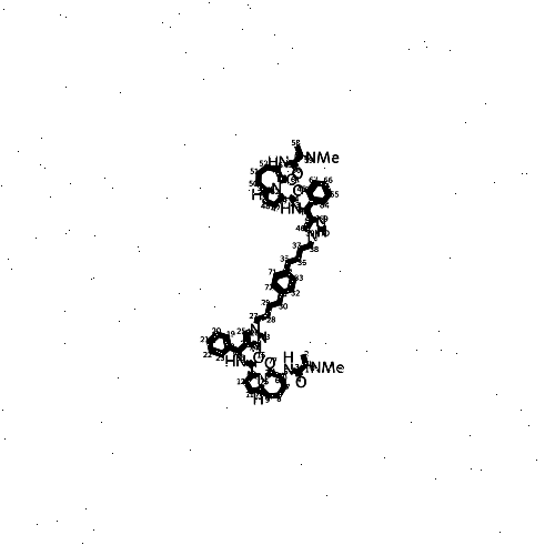 CN[C@@H](C)C(=O)N[C@H]1CCC[C@H]2CC[C@@H](C(=O)N[C@@H](c3ccccc3)c3cn(CCCCc4ccc(CCCCn5cc([C@@H](NC(=O)[C@@H]6CC[C@@H]7CCC[C@H](NC(=O)[C@H](C)NC)C(=O)N76)c6ccccc6)nn5)cc4)nn3)N2C1=O